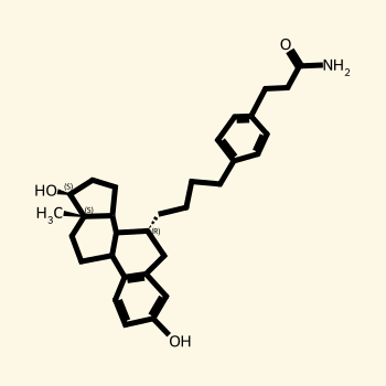 C[C@]12CCC3c4ccc(O)cc4C[C@@H](CCCCc4ccc(CCC(N)=O)cc4)C3C1CC[C@@H]2O